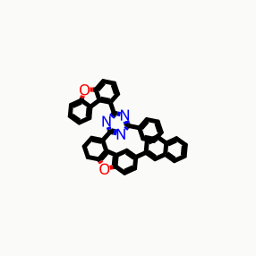 C1=C(c2nc(-c3ccccc3)nc(-c3cccc4oc5ccccc5c34)n2)c2c(oc3ccc(-c4ccc5ccccc5c4)cc23)CC1